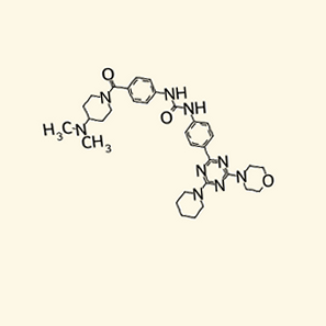 CN(C)C1CCN(C(=O)c2ccc(NC(=O)Nc3ccc(-c4nc(N5CCCCC5)nc(N5CCOCC5)n4)cc3)cc2)CC1